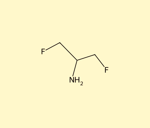 NC(CF)CF